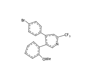 COc1ccccc1-c1cnc(C(F)(F)F)cc1-c1ccc(Br)cc1